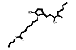 CCCCC(C)C(O)CC=C1CC[C@H](O)[C@@H]1CCCCCCC(=O)OCCC